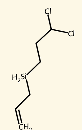 C=CC[SiH2]CCC(Cl)Cl